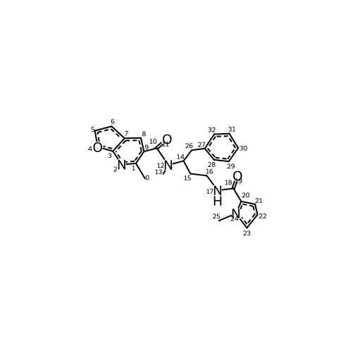 Cc1nc2occc2cc1C(=O)N(C)C(CCNC(=O)c1cccn1C)Cc1ccccc1